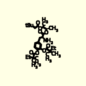 CCC(C)(C)C(=O)Oc1ccc(C[C@H](N)C(=O)O[C@@H](C)C(C)OC(=O)CC(C)(C)C)cc1OC(=O)C(C)(C)CC